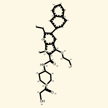 CCc1nc2c(cc1-c1ccc3ccccc3c1)c(OCCF)c(C(=O)NC1CCN(C(=O)CO)CC1)n2C